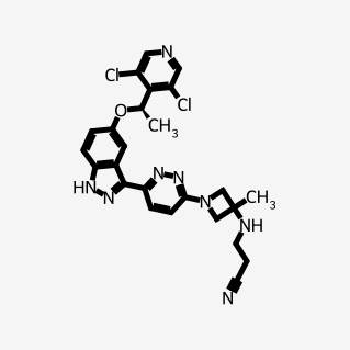 C[C@@H](Oc1ccc2[nH]nc(-c3ccc(N4CC(C)(NCCC#N)C4)nn3)c2c1)c1c(Cl)cncc1Cl